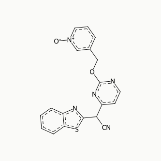 N#CC(c1ccnc(OCc2ccc[n+]([O-])c2)n1)c1nc2ccccc2s1